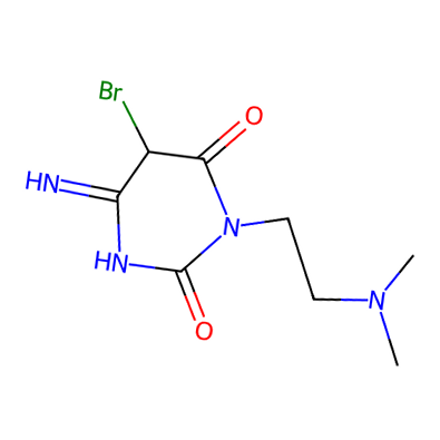 CN(C)CCN1C(=O)NC(=N)C(Br)C1=O